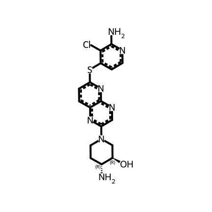 Nc1nccc(Sc2ccc3nc(N4CC[C@@H](N)[C@H](O)C4)cnc3n2)c1Cl